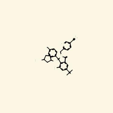 CC(C)(O)c1cc(F)c2c(c1)C(=O)N(Cc1ccc(C#N)cn1)[C@@]2(OC1CCC(O)C1)c1ccc(Cl)cc1